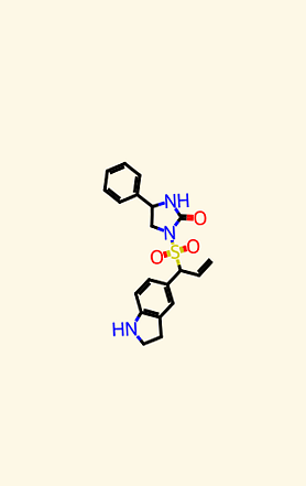 C=CC(c1ccc2c(c1)CCN2)S(=O)(=O)N1CC(c2ccccc2)NC1=O